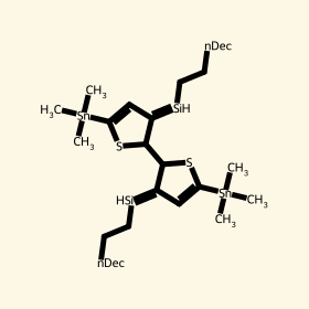 CCCCCCCCCCCC/[SiH]=C1\C=[C]([Sn]([CH3])([CH3])[CH3])SC1C1S[C]([Sn]([CH3])([CH3])[CH3])=C/C1=[SiH]\CCCCCCCCCCCC